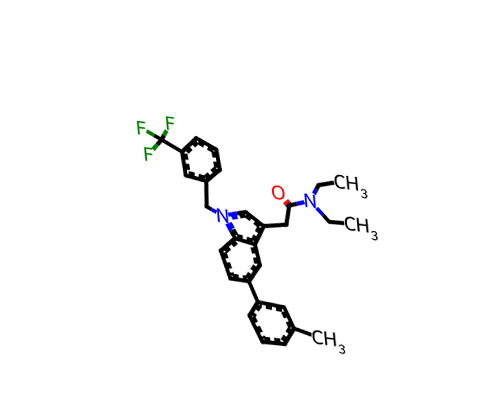 CCN(CC)C(=O)Cc1cn(Cc2cccc(C(F)(F)F)c2)c2ccc(-c3cccc(C)c3)cc12